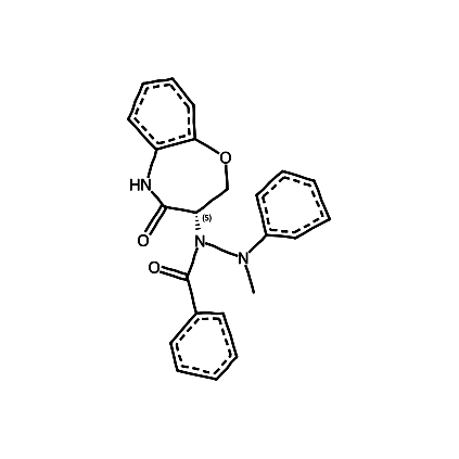 CN(c1ccccc1)N(C(=O)c1ccccc1)[C@H]1COc2ccccc2NC1=O